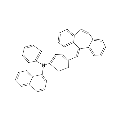 C1=Cc2ccccc2C(=CC2=CC=C(N(c3ccccc3)c3cccc4ccccc34)CC2)c2ccccc21